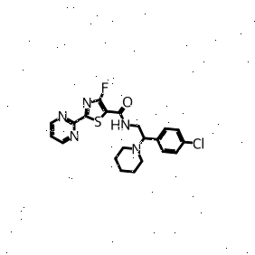 O=C(NCC(c1ccc(Cl)cc1)N1CCCCC1)c1sc(-c2ncccn2)nc1F